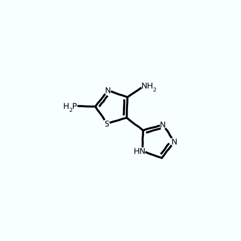 Nc1nc(P)sc1-c1nnc[nH]1